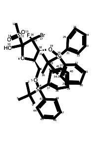 CC(C)(C)[Si](OC[C@H]1OC(O)(S(C)(=O)=O)[C@@](F)(Br)[C@@H]1O[Si](c1ccccc1)(c1ccccc1)C(C)(C)C)(c1ccccc1)c1ccccc1